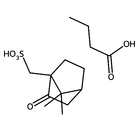 CC1(C)C2CCC1(CS(=O)(=O)O)C(=O)C2.CCCC(=O)O